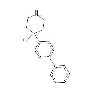 OC1(c2ccc(-c3ccccc3)cc2)CCNCC1